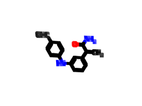 C=C(C(N)=O)c1cccc(Nc2ccc(C=O)cc2)c1